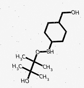 CC(C)(O)C(C)(C)OBC1CCC(CO)CC1